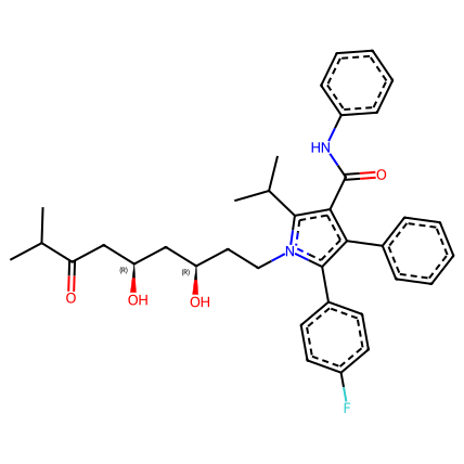 CC(C)C(=O)C[C@H](O)C[C@H](O)CCn1c(-c2ccc(F)cc2)c(-c2ccccc2)c(C(=O)Nc2ccccc2)c1C(C)C